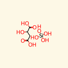 O=C(O)CC(O)C(=O)O.O[Si](O)(O)O